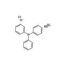 [H-].[H-].[H-].[Rh+3].c1ccc(P(c2ccccc2)c2ccccc2)cc1